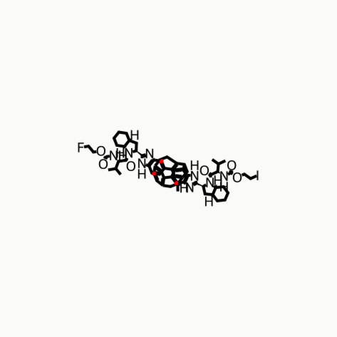 CC(C)[C@H](NC(=O)OCCF)C(=O)N1[C@H](c2nc3cc(-c4cc5ccc4CCc4ccc(c(-c6ccc7[nH]c([C@@H]8C[C@@H]9CCCC[C@@H]9N8C(=O)[C@@H](NC(=O)OCCI)C(C)C)nc7c6)c4)C[C@H]5C)ccc3[nH]2)C[C@@H]2CCCC[C@@H]21